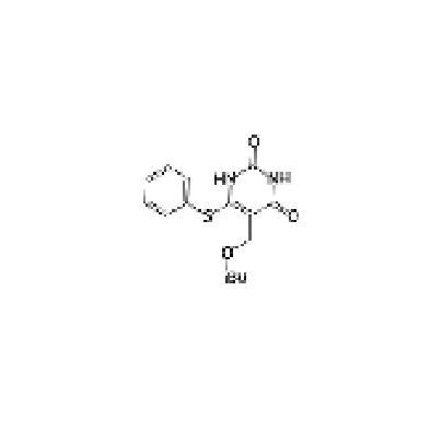 CCC(C)OCc1c(Sc2ccccc2)[nH]c(=O)[nH]c1=O